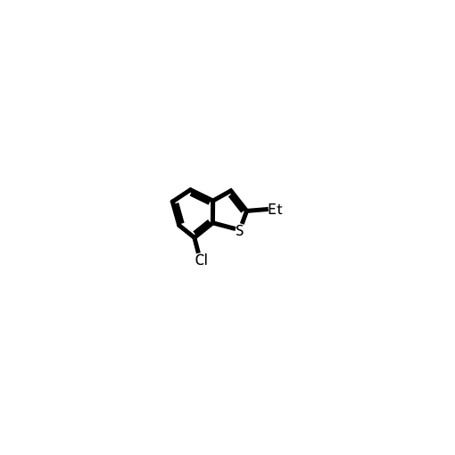 CCc1cc2cccc(Cl)c2s1